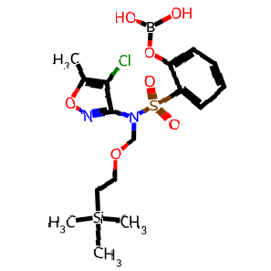 Cc1onc(N(COCC[Si](C)(C)C)S(=O)(=O)c2ccccc2OB(O)O)c1Cl